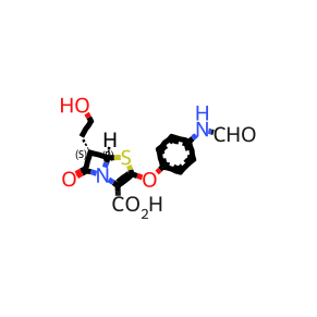 O=CNc1ccc(OC2=C(C(=O)O)N3C(=O)[C@H](CCO)[C@H]3S2)cc1